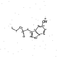 CCOC(=O)Cc1noc2ccc(O)cc12